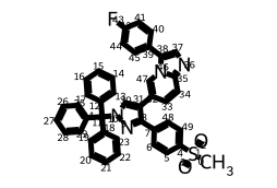 CS(=O)(=O)c1ccc(-c2nn(C(c3ccccc3)(c3ccccc3)c3ccccc3)cc2-c2ccc3ncc(-c4ccc(F)cc4)n3c2)cc1